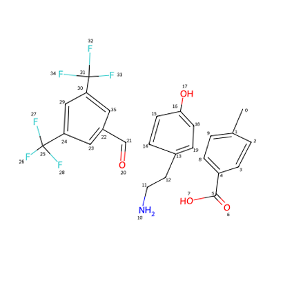 Cc1ccc(C(=O)O)cc1.NCCc1ccc(O)cc1.O=Cc1cc(C(F)(F)F)cc(C(F)(F)F)c1